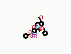 O=c1ccc2c(C3CO3)ccc(OCc3ccccc3)c2n1[C@@]1(c2ccc(OCc3ccccc3)c([N+](=O)[O-])c2)CO1